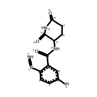 CC(C)c1ccc(N=N)c(C(=O)NC2CCC(=O)NC2=O)c1